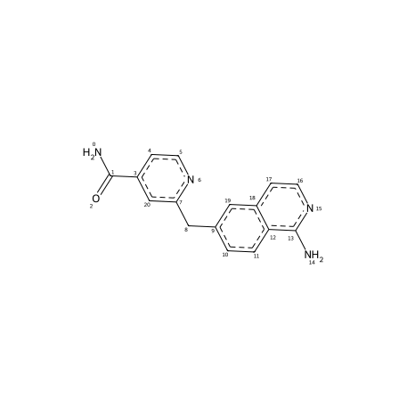 NC(=O)c1ccnc(Cc2ccc3c(N)nccc3c2)c1